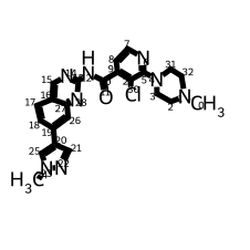 CN1CCN(c2nccc(C(=O)Nc3ncc4ccc(-c5cnn(C)c5)cc4n3)c2Cl)CC1